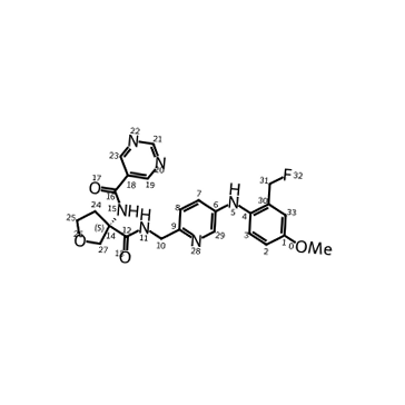 COc1ccc(Nc2ccc(CNC(=O)[C@]3(NC(=O)c4cncnc4)CCOC3)nc2)c(CF)c1